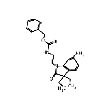 Bc1ccc2c(c1)N(CCNC(=O)OCc1ccccc1)C(=O)C2(CC)CC